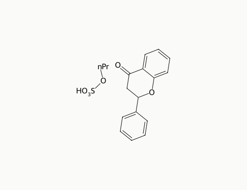 CCCOS(=O)(=O)O.O=C1CC(c2ccccc2)Oc2ccccc21